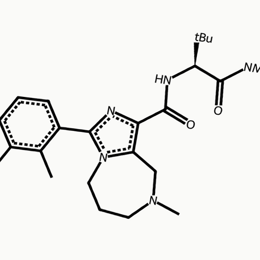 CNC(=O)[C@@H](NC(=O)c1nc(-c2cccc(F)c2C)n2c1CN(C)CCC2)C(C)(C)C